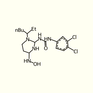 CCCCC(CC)N1CCC(NO)NC1NC(=O)Nc1ccc(Cl)c(Cl)c1